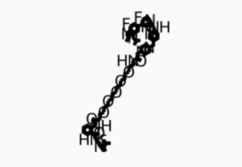 Cc1nc(NC(=O)c2ccccc2NC(=O)CCOCCOCCOCCOCCOCCNC(=O)CN2CCN(Cc3ccc(Nc4ncc(F)c(-c5cc(F)c6nc(C)n(C(C)C)c6c5)n4)nc3)CC2)sc1C